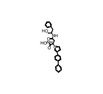 O=C(CC(C(=O)NO)n1ccc(-c2ccc(-c3ccccc3)cc2)c1)NC(CO)Cc1ccccc1